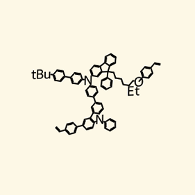 C=Cc1ccc(OCC(CC)CCCCC2(c3ccccc3)c3ccccc3-c3ccc(N(c4ccc(-c5ccc(C(C)(C)C)cc5)cc4)c4ccc(-c5ccc6c(c5)c5cc(-c7ccc(C=C)cc7)ccc5n6-c5ccccc5)cc4)cc32)cc1